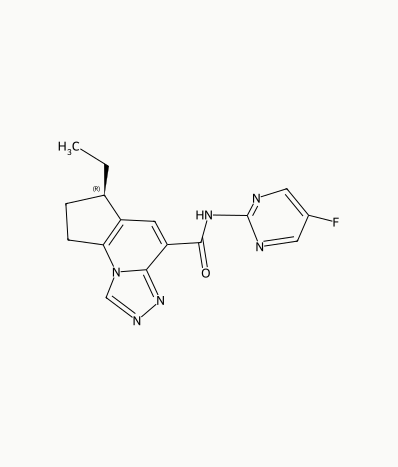 CC[C@@H]1CCc2c1cc(C(=O)Nc1ncc(F)cn1)c1nncn21